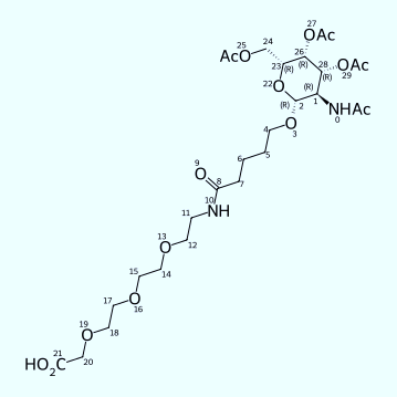 CC(=O)N[C@H]1[C@H](OCCCCC(=O)NCCOCCOCCOCC(=O)O)O[C@H](COC(C)=O)[C@H](OC(C)=O)[C@@H]1OC(C)=O